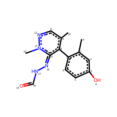 Cc1cc(O)ccc1-c1c(C)cnn(C)/c1=N\NC=O